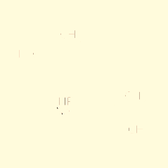 Cc1ccc(Pc2ccc(C)c(C)c2)cc1C.[Na]